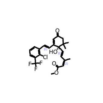 COC(=O)/C=C(C)\C=C\[C@@]1(O)C(/C=C/c2cccc(C(F)(F)F)c2Cl)=CC(=O)CC1(C)C